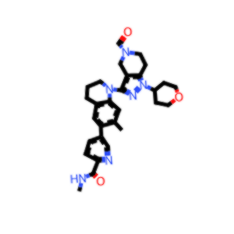 CNC(=O)c1ccc(-c2cc3c(cc2C)N(c2nn(C4CCOCC4)c4c2CN(C=O)CC4)CCC3)cn1